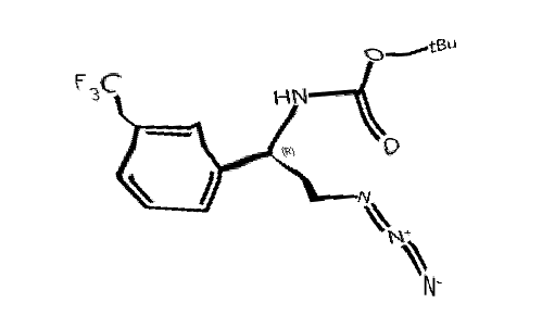 CC(C)(C)OC(=O)N[C@@H](CN=[N+]=[N-])c1cccc(C(F)(F)F)c1